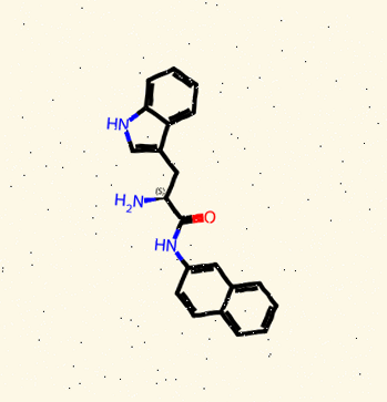 N[C@@H](Cc1c[nH]c2ccccc12)C(=O)Nc1ccc2ccccc2c1